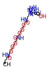 C#CCCCC(=O)NCCOCCOCCOCCC(=O)NCCOCCOCCOCCC(=O)NCCCCn1nc(-c2cc3cc(O)ccc3[nH]2)c2c(N)ncnc21